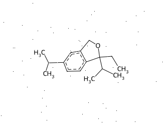 CCC1(C(C)C)OCc2cc(C(C)C)ccc21